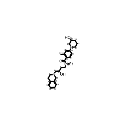 CCN(CC[C@H](O)CN1CCc2ccccc2C1)C(=O)c1ccc(N2CCCC(O)C2)cc1C